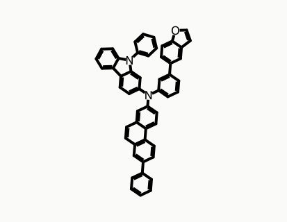 c1ccc(-c2ccc3c(ccc4cc(N(c5cccc(-c6ccc7occc7c6)c5)c5ccc6c7ccccc7n(-c7ccccc7)c6c5)ccc43)c2)cc1